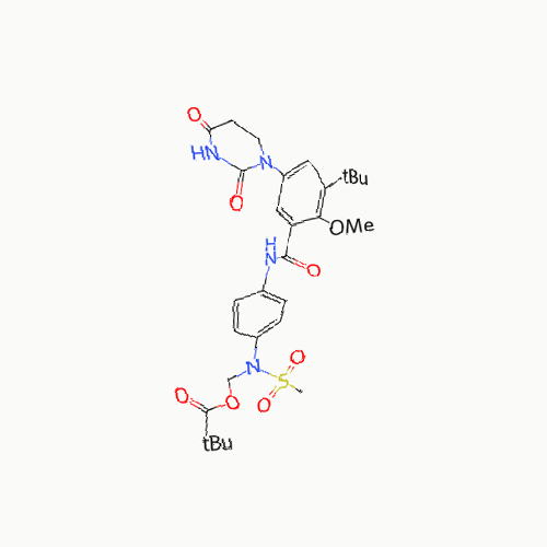 COc1c(C(=O)Nc2ccc(N(COC(=O)C(C)(C)C)S(C)(=O)=O)cc2)cc(N2CCC(=O)NC2=O)cc1C(C)(C)C